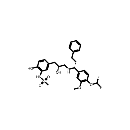 COc1cc([C@@H](CCc2ccccc2)NC[C@@H](O)Cc2ccc(O)c(NS(C)(=O)=O)c2)ccc1OC(F)F